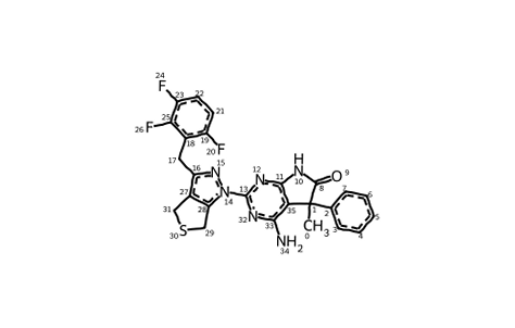 CC1(c2ccccc2)C(=O)Nc2nc(-n3nc(Cc4c(F)ccc(F)c4F)c4c3CSC4)nc(N)c21